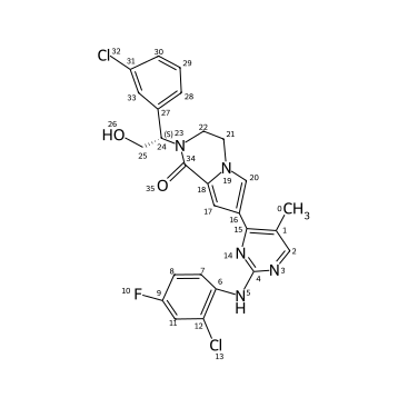 Cc1cnc(Nc2ccc(F)cc2Cl)nc1-c1cc2n(c1)CCN([C@H](CO)c1cccc(Cl)c1)C2=O